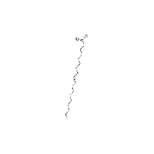 CCCCCCCCC=CCCCCCCCC([O])=O